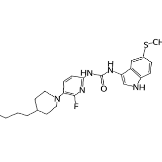 CSc1ccc2[nH]cc(NC(=O)Nc3ccc(N4CCC(CCCO)CC4)c(F)n3)c2c1